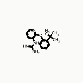 CC(C)(C)c1ccccc1Oc1ncccc1NC(=N)N